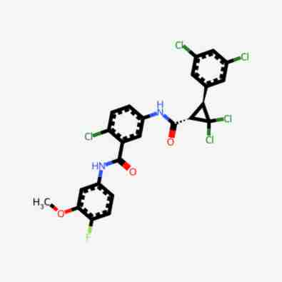 COc1cc(NC(=O)c2cc(NC(=O)[C@@H]3[C@@H](c4cc(Cl)cc(Cl)c4)C3(Cl)Cl)ccc2Cl)ccc1F